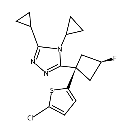 F[C@H]1C[C@](c2ccc(Cl)s2)(c2nnc(C3CC3)n2C2CC2)C1